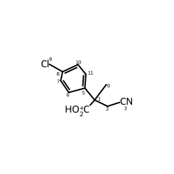 CC(CC#N)(C(=O)O)c1ccc(Cl)cc1